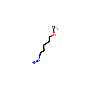 COCCCCCN=N